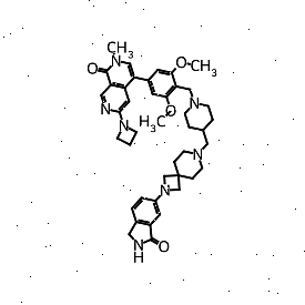 COc1cc(-c2cn(C)c(=O)c3cnc(N4CCC4)cc23)cc(OC)c1CN1CCC(CN2CCC3(CC2)CN(c2ccc4c(c2)C(=O)NC4)C3)CC1